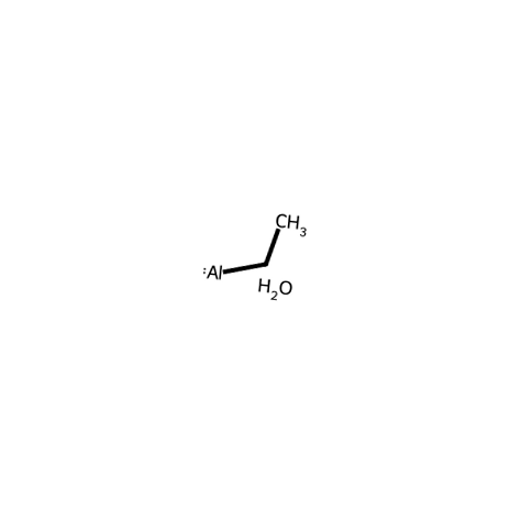 C[CH2][Al].O